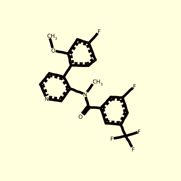 COc1cc(F)ccc1-c1ccncc1N(C)C(=O)c1cc(F)cc(C(F)(F)F)c1